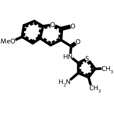 COc1ccc2oc(=O)c(C(=O)Nc3sc(C)c(C)c3N)cc2c1